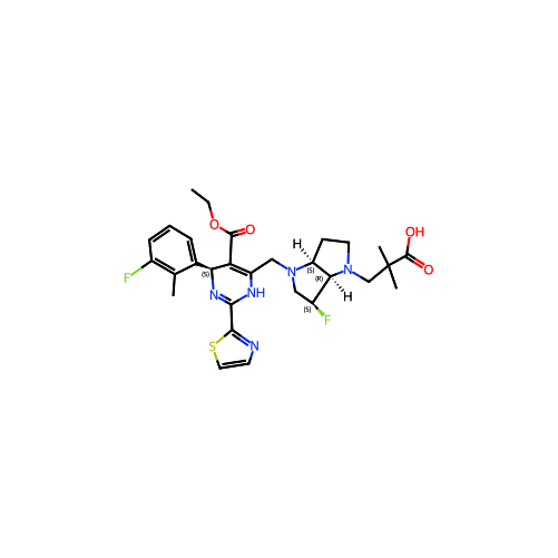 CCOC(=O)C1=C(CN2C[C@H](F)[C@H]3[C@@H]2CCN3CC(C)(C)C(=O)O)NC(c2nccs2)=N[C@H]1c1cccc(F)c1C